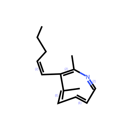 CCC\C=C/C1=C(C)/N=C\C=C\C=C\1C